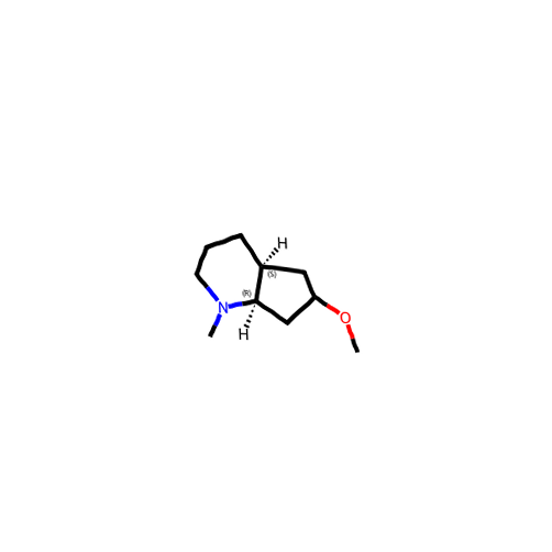 COC1C[C@@H]2CCCN(C)[C@@H]2C1